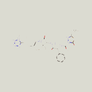 CSc1nn(C(=O)NC(C(=O)NC2C(=O)N3C(C(=O)O)=C(CSc4nnnn4C)CS[C@@H]23)c2ccccc2)c(=O)s1